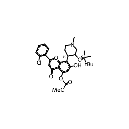 COC(=O)Oc1cc(O)c([C@H]2CCN(C)CC2O[Si](C)(C)C(C)(C)C)c2oc(-c3ccccc3Cl)cc(=O)c12